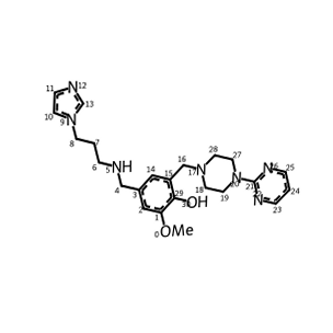 COc1cc(CNCCCn2ccnc2)cc(CN2CCN(c3ncccn3)CC2)c1O